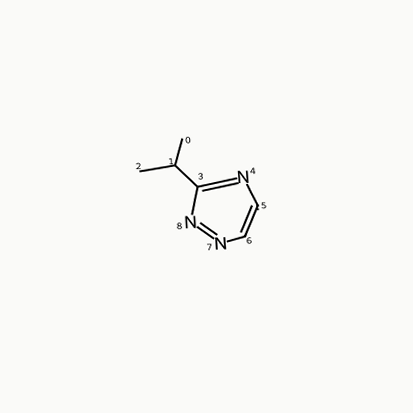 CC(C)c1n[c]cnn1